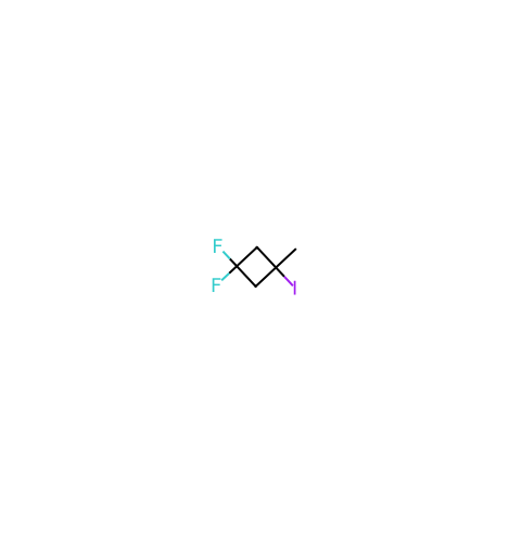 CC1(I)CC(F)(F)C1